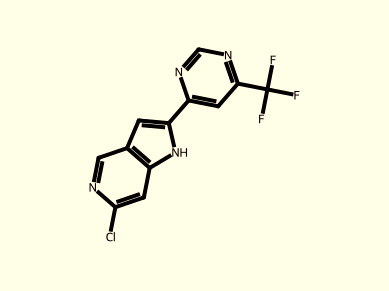 FC(F)(F)c1cc(-c2cc3cnc(Cl)cc3[nH]2)ncn1